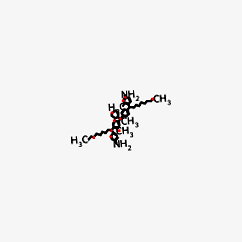 CCCCCCCCCC(c1ccc(C(C)(c2ccc(C(CCCCCCCCC)c3ccc(N)cc3C)cc2)C2CCCCC2)cc1)c1ccc(N)cc1C